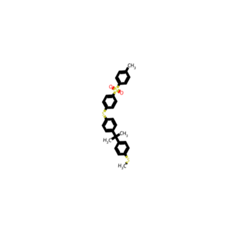 CSc1ccc(C(C)(C)c2ccc(Sc3ccc(S(=O)(=O)c4ccc(C)cc4)cc3)cc2)cc1